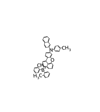 Cc1ccc(N(c2ccc3c(c2)Oc2cccc4c(B(c5ccccc5C)c5ccccc5C)ccc-3c24)c2ccc3ccccc3c2)cc1